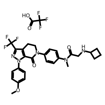 COc1ccc(-n2nc(C(F)(F)F)c3c2C(=O)N(c2ccc(N(C)C(=O)CNC4CCC4)cc2)CC3)cc1.O=C(O)C(F)(F)F